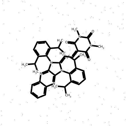 CC(C)c1cccc(C(C)C)c1N1C(=CC=C2C(=O)N(C)C(=O)N(C)C2=O)N(c2c(C(C)C)cccc2C(C)C)c2nc3ccccc3nc21